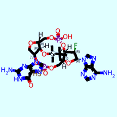 CC(C)(C)[Si](C)(C)O[C@@H]1[C@H]2COP(=O)(O)O[C@H]3[C@@H](F)[C@H](n4cnc5c(N)ncnc54)O[C@H]3COP(=O)(S)O[C@@]1(n1cnc3c(=O)[nH]c(N)nc31)CO2